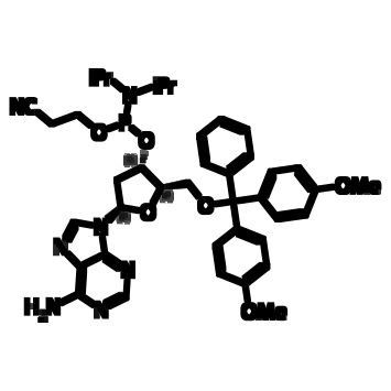 COc1ccc(C(OC[C@H]2O[C@@H](n3cnc4c(N)ncnc43)C[C@@H]2OP(OCCC#N)N(C(C)C)C(C)C)(c2ccccc2)c2ccc(OC)cc2)cc1